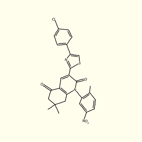 Cc1ccc([N+](=O)[O-])cc1-n1c2c(cc(-c3nc(-c4ccc(Cl)cc4)cs3)c1=O)C(=O)CC(C)(C)C2